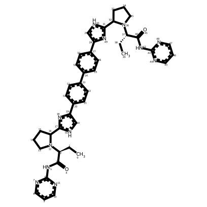 CC[C@@H](C(=O)Nc1ncccn1)N1CCCC1c1nc(-c2ccc(-c3ccc(-c4c[nH]c(C5CCCN5[C@@H](CC)C(=O)Nc5ncccn5)n4)cc3)cc2)c[nH]1